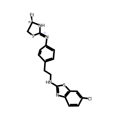 CC[C@@H]1CS/C(=N\c2ccc(CCNc3nc4ccc(Cl)cc4s3)cc2)N1